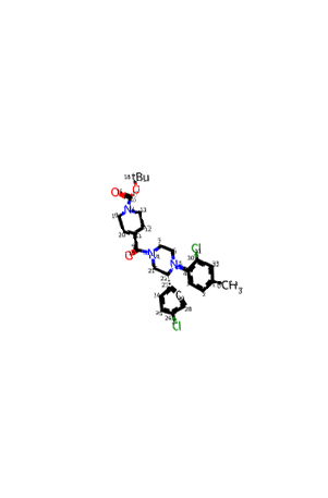 Cc1ccc(N2CCN(C(=O)C3CCN(C(=O)OC(C)(C)C)CC3)C[C@H]2c2ccc(Cl)cc2)c(Cl)c1